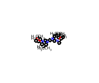 CC(C)(C)c1ccc(N(c2ccccc2-c2ccc3ccccc3c2)c2ccc3c4cc5c(cc4n4c6ccc(C(C)(C)C)cc6c2c34)c2ccc(N(c3ccc(C(C)(C)C)cc3)c3ccccc3-c3ccc4ccccc4c3)c3c4cc(C(C)(C)C)ccc4n5c23)cc1